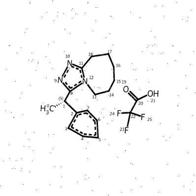 C[C@@H](c1ccccc1)c1nnc2n1CCCCCC2.O=C(O)C(F)(F)F